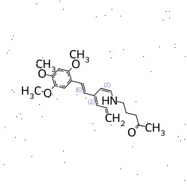 C=C/C=C(\C=C/NCCCC(C)=O)/C=C/c1cc(OC)c(OC)cc1OC